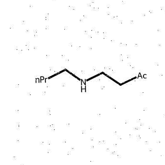 CCCCNCCC(C)=O